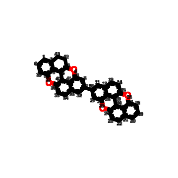 c1cc2c3c4c(oc5cc(-c6cc7ccc8oc9cccc%10ccc%11oc(c6)c7c8-c%11c%109)cc6ccc(oc3c1)c-4c65)CC2